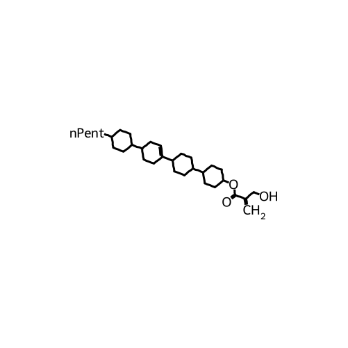 C=C(CO)C(=O)OC1CCC(C2CCC(C3=CCC(C4CCC(CCCCC)CC4)CC3)CC2)CC1